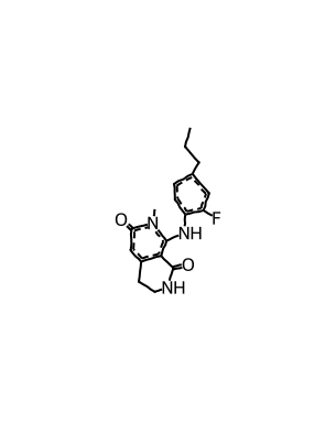 CCCc1ccc(Nc2c3c(cc(=O)n2C)CCNC3=O)c(F)c1